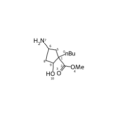 CCCCC1(C(=O)OC)CC(N)CC1O